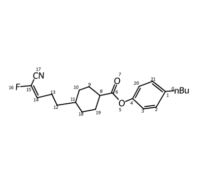 CCCCc1ccc(OC(=O)C2CCC(CC/C=C(/F)C#N)CC2)cc1